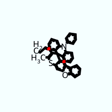 C=C/C=C\C1=C(C)Sc2cc3oc4ccccc4c3cc2C12c1ccccc1N(c1ccccc1)c1ccccc12